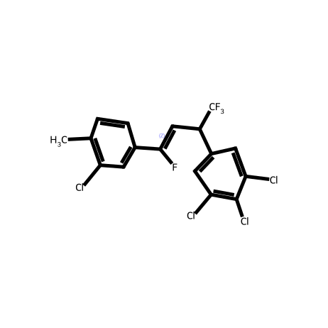 Cc1ccc(/C(F)=C/C(c2cc(Cl)c(Cl)c(Cl)c2)C(F)(F)F)cc1Cl